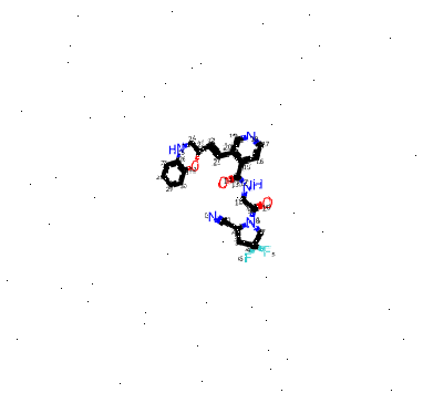 N#CC1CC(F)(F)CN1C(=O)CNC(=O)c1ccncc1C=CC1CNc2ccccc2O1